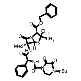 CCCCN1CCN(C(=O)NC(C(=O)N[C@]2(SC)C(=O)N3[C@@H](C(=O)OCc4ccccc4)C(C)(C)S[C@@H]32)c2ccccc2)C(=O)C1=O